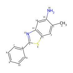 Cc1cc2sc(-c3ccccc3)nc2cc1N